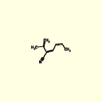 C=C(C)/C(C#N)=C\C=C/C